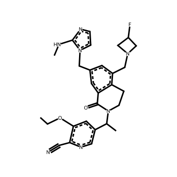 CCOc1cc(C(C)N2CCc3c(CN4CC(F)C4)cc(Cn4ccnc4NC)cc3C2=O)cnc1C#N